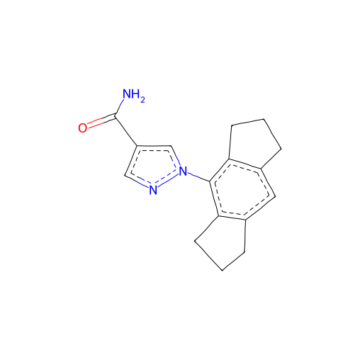 NC(=O)c1cnn(-c2c3c(cc4c2CCC4)CCC3)c1